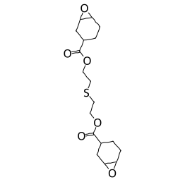 O=C(OCCSCCOC(=O)C1CCC2OC2C1)C1CCC2OC2C1